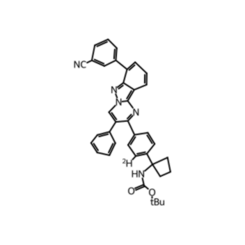 [2H]c1cc(-c2nc3c4cccc(-c5cccc(C#N)c5)c4nn3cc2-c2ccccc2)ccc1C1(NC(=O)OC(C)(C)C)CCC1